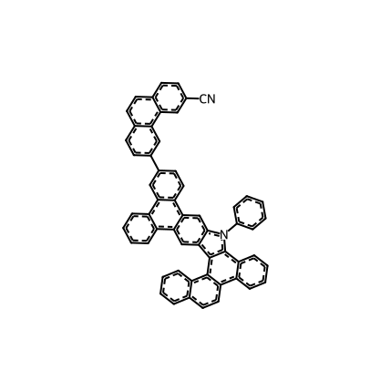 N#Cc1ccc2ccc3ccc(-c4ccc5c(c4)c4ccccc4c4cc6c7c8c9ccccc9ccc8c8ccccc8c7n(-c7ccccc7)c6cc54)cc3c2c1